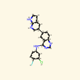 Fc1ccc(Nc2ncnc3ccc(-c4cnc5[nH]ccc5c4)cc23)cc1Cl